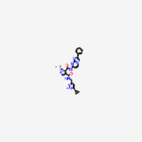 Cn1ncc(C(=O)NCc2cc(C3CC3)[nH]n2)c1C(=O)Nc1ccn2cc(-c3ccccc3)nc2n1